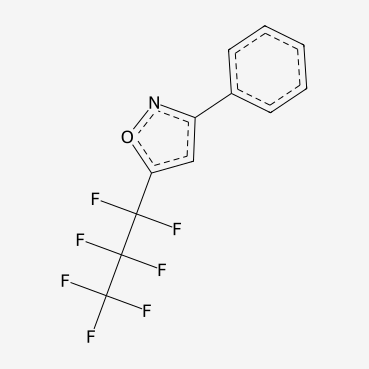 FC(F)(F)C(F)(F)C(F)(F)c1cc(-c2ccccc2)no1